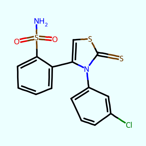 NS(=O)(=O)c1ccccc1-c1csc(=S)n1-c1cccc(Cl)c1